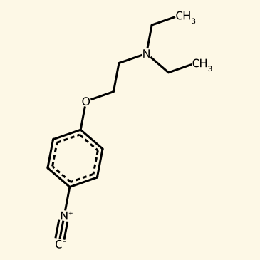 [C-]#[N+]c1ccc(OCCN(CC)CC)cc1